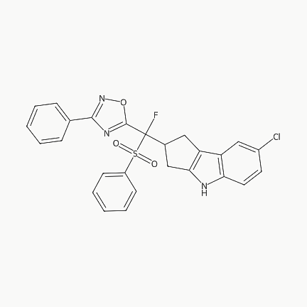 O=S(=O)(c1ccccc1)C(F)(c1nc(-c2ccccc2)no1)C1Cc2[nH]c3ccc(Cl)cc3c2C1